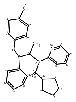 CC(C(Cc1ccc(Cl)cc1)c1ccccc1)N(C(=O)C1CCCC1)c1ccccn1